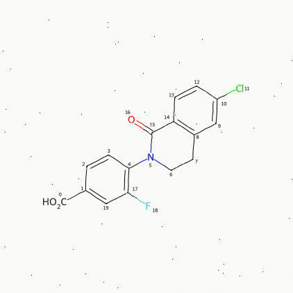 O=C(O)c1ccc(N2CCc3cc(Cl)ccc3C2=O)c(F)c1